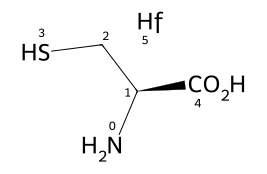 N[C@@H](CS)C(=O)O.[Hf]